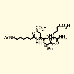 CCC(C)[C@H](NC(=O)[C@H](CCC(=O)O)NC(=O)CCCCCNC(C)=O)C(=O)N[C@@H](CCCC(=O)O)C(N)=O